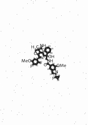 COc1cc(-c2nc([C@@](O)(CNC(=O)c3cc(OC)c4nn(C5(F)CC5)cc4c3)c3ccccc3)cc3c2OC[C@]3(C)C(N)=O)c(F)cc1F